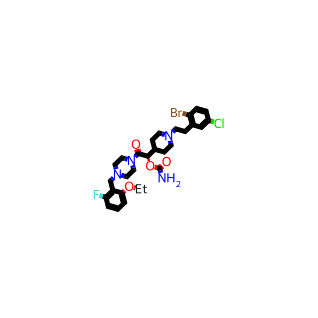 CCOc1cccc(F)c1CN1CCN(C(=O)[C@H](OC(N)=O)C2CCN(CCc3cc(Cl)ccc3Br)CC2)CC1